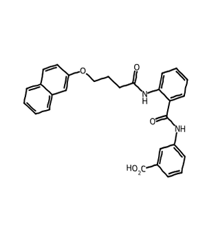 O=C(CCCOc1ccc2ccccc2c1)Nc1ccccc1C(=O)Nc1cccc(C(=O)O)c1